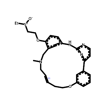 CC[S+]([O-])CCOc1ccc2cc1CN(C)C/C=C/CCOc1cccc(c1)-c1ccnc(n1)N2